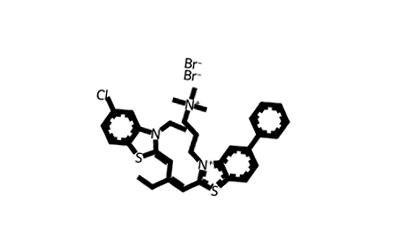 CCC(=Cc1sc2ccc(-c3ccccc3)cc2[n+]1CCC[N+](C)(C)C)C=C1Sc2ccc(Cl)cc2N1CC.[Br-].[Br-]